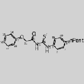 CCCCCc1ccc(NC(=S)NC(=O)COc2ccccc2)cc1